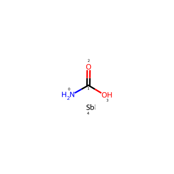 NC(=O)O.[Sb]